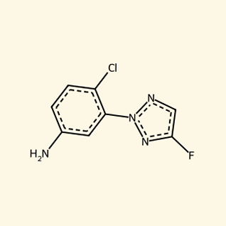 Nc1ccc(Cl)c(-n2ncc(F)n2)c1